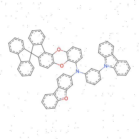 c1cc(N(c2ccc3c(c2)oc2ccccc23)c2cccc3c2Oc2ccc4c(c2O3)-c2ccccc2C42c3ccccc3-c3ccccc32)cc(-n2c3ccccc3c3ccccc32)c1